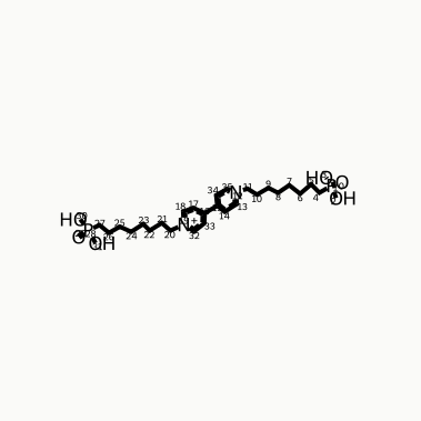 O=P(O)(O)CCCCCCCC[n+]1ccc(-c2cc[n+](CCCCCCCCP(=O)(O)O)cc2)cc1